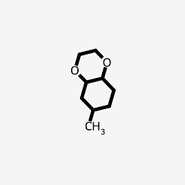 CC1CCC2OCCOC2C1